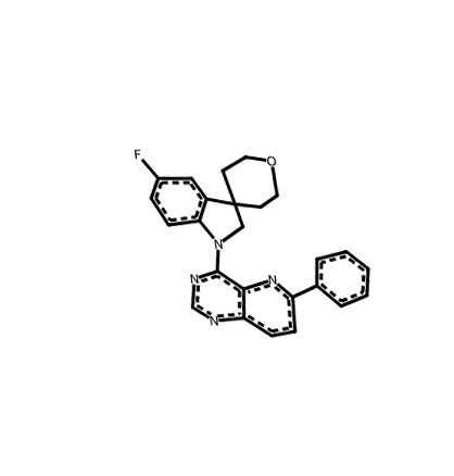 Fc1ccc2c(c1)C1(CCOCC1)CN2c1ncnc2ccc(-c3ccccc3)nc12